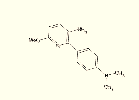 COc1ccc(N)c(-c2ccc(N(C)C)cc2)n1